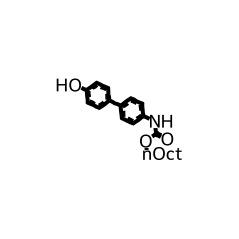 CCCCCCCCOC(=O)Nc1ccc(-c2ccc(O)cc2)cc1